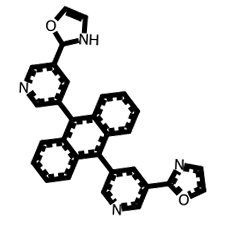 C1=COC(c2cncc(-c3c4ccccc4c(-c4cncc(-c5ncco5)c4)c4ccccc34)c2)N1